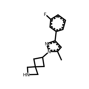 Cc1cc(-c2cccc(F)c2)nn1C1CC2(CNC2)C1